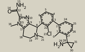 Cc1c(-c2cccc(C3c4nc(C(N)=O)n(C)c4CCN3C)c2Cl)cccc1C1(N)CC1